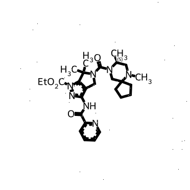 CCOC(=O)n1nc(NC(=O)c2ccccn2)c2c1C(C)(C)N(C(=O)N1CC3(CCCC3)N(C)C[C@@H]1C)C2